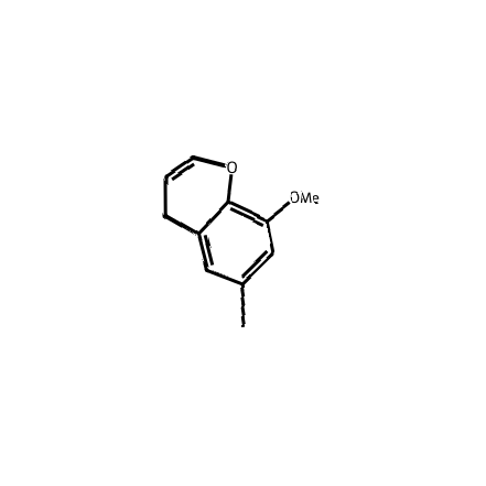 COc1cc(C)cc2c1OC=CC2